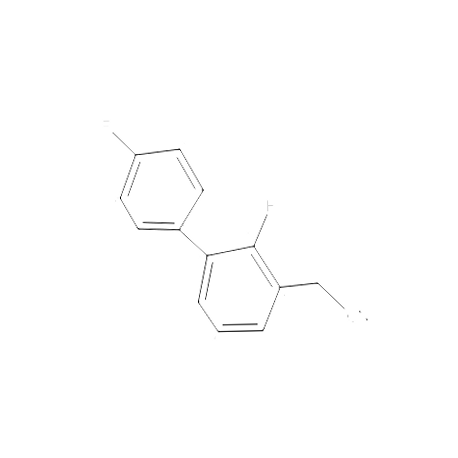 N#CCc1cccc(-c2ccc(F)cc2)c1F